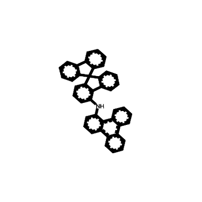 c1ccc2c(c1)-c1ccccc1C21c2ccccc2-c2c(Nc3cccc4c5ccccc5c5ccccc5c34)cccc21